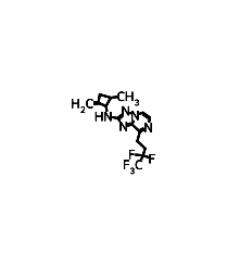 C=C1CC(C)C1Nc1nc2c(CCC(F)(F)C(F)(F)F)nccn2n1